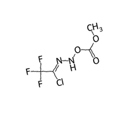 COC(=O)ONN=C(Cl)C(F)(F)F